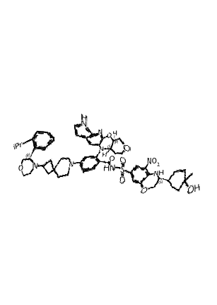 CC(C)c1ccccc1[C@@H]1COCCN1C1CC2(CCN(c3ccc(C(=O)NS(=O)(=O)c4cc5c(c([N+](=O)[O-])c4)N[C@@H](C4CCC(C)(O)CC4)CO5)c(N4c5cc6cc[nH]c6nc5O[C@H]5COCC[C@@H]54)c3)CC2)C1